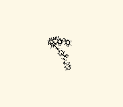 Cn1c(C#CC2CCN(C(=O)/C=C/CN3CCOCC3)CC2)c(-c2ccc(Oc3ccccc3)cc2)c2c(N)ncnc21